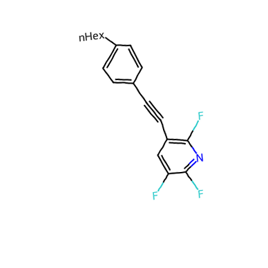 CCCCCCc1ccc(C#Cc2cc(F)c(F)nc2F)cc1